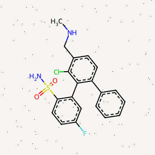 CNCc1ccc(-c2ccccc2)c(-c2cc(F)ccc2S(N)(=O)=O)c1Cl